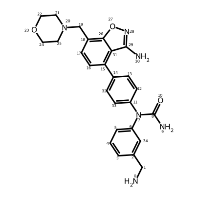 NCc1cccc(N(C(N)=O)c2ccc(-c3ccc(CN4CCOCC4)c4onc(N)c34)cc2)c1